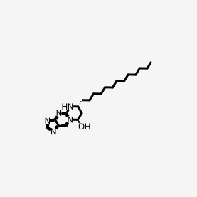 CCCCCCCCCCCCC[C@@H]1C[C@@H](O)n2cc3ncnc-3nc2N1